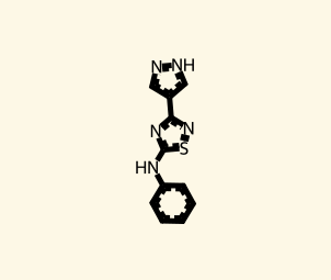 c1ccc(Nc2nc(-c3cn[nH]c3)ns2)cc1